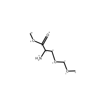 COCOCC(N)C(=O)OC